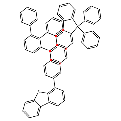 c1ccc(-c2ccccc2-c2c(-c3ccccc3)cccc2N(c2ccc(-c3cccc4c3sc3ccccc34)cc2)c2ccc3c(c2)-c2ccccc2C3(c2ccccc2)c2ccccc2)cc1